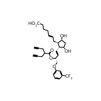 C#CCC(CC#C)C(=O)O[C@H](/C=C/[C@@H]1[C@@H](CC=CCCCC(=O)O)[C@@H](O)C[C@H]1O)COc1cccc(C(F)(F)F)c1